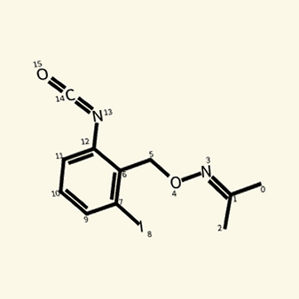 CC(C)=NOCc1c(I)cccc1N=C=O